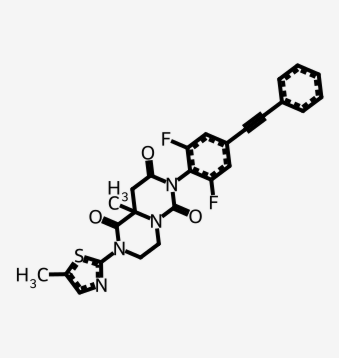 Cc1cnc(N2CCN3C(=O)N(c4c(F)cc(C#Cc5ccccc5)cc4F)C(=O)CC3(C)C2=O)s1